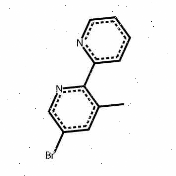 Cc1cc(Br)cnc1-c1ccccn1